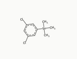 [CH3][Sn]([CH3])([CH3])[c]1cc(Cl)cc(Cl)c1